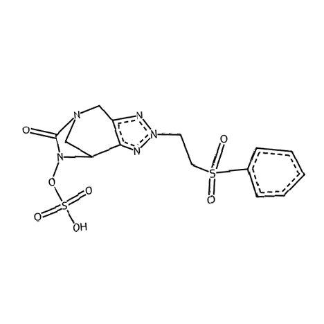 O=C1N2Cc3nn(CCS(=O)(=O)c4ccccc4)nc3C(C2)N1OS(=O)(=O)O